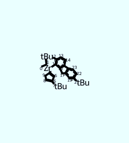 C[C](C)=[Zr]([C]1=CC(C(C)(C)C)=CC1)[c]1c(C(C)(C)C)ccc2c1Cc1cc(C(C)(C)C)ccc1-2